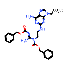 CCOC(=O)Cn1cnc2c(N)nc(NCCN(C(=O)OCc3ccccc3)C(N)=NC(=O)OCc3ccccc3)nc21